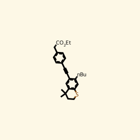 CCCCc1cc2c(cc1C#Cc1ccc(CC(=O)OCC)cc1)C(C)(C)CCS2